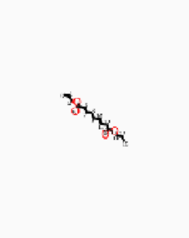 CCCOC(=O)CCCCCCCC(=O)OCCC